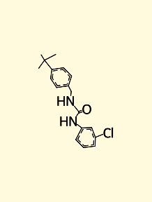 CC(C)(C)c1ccc(CNC(=O)Nc2cccc(Cl)c2)cc1